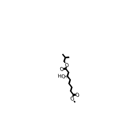 COC(=O)CCCC[C@H](O)CC(=O)OCC(C)C